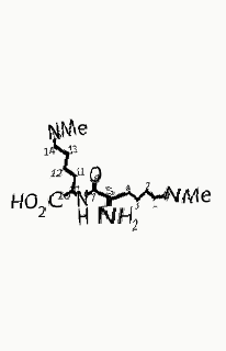 CNCCCCC(N)C(=O)NC(CCCCNC)C(=O)O